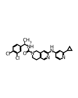 C[C@@H](NC(=O)N1CCc2cnc(Nc3ccnc(C4CC4)c3)cc2C1)c1ccc(Cl)c(Cl)c1